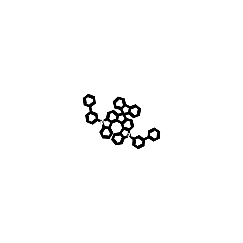 c1ccc(-c2cccc(-n3c4ccccc4c4c5c(ccc43)C3(c4ccccc4-c4ccccc43)c3ccc4c(c3-5)c3ccccc3n4-c3cccc(-c4ccccc4)c3)c2)cc1